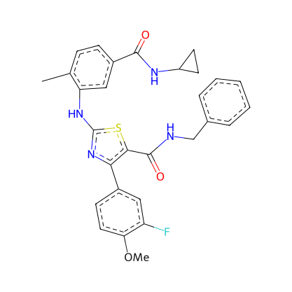 COc1ccc(-c2nc(Nc3cc(C(=O)NC4CC4)ccc3C)sc2C(=O)NCc2ccccc2)cc1F